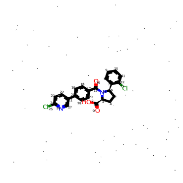 O=C(O)[C@@H]1CC[C@H](c2ccccc2Cl)N1C(=O)c1ccc(-c2ccc(Cl)nc2)cc1